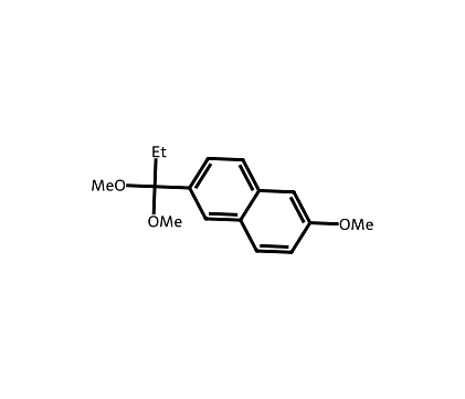 CCC(OC)(OC)c1ccc2cc(OC)ccc2c1